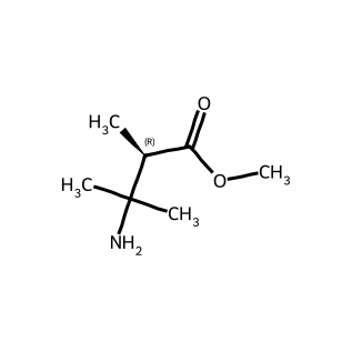 COC(=O)[C@H](C)C(C)(C)N